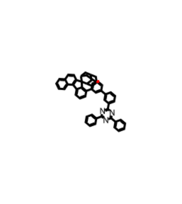 c1ccc(-c2nc(-c3ccccc3)nc(-c3cccc(-c4cccc(-c5cccc6c5C5(c7ccc8ccccc8c7-6)C6CC7CC(C6)CC5C7)c4)c3)n2)cc1